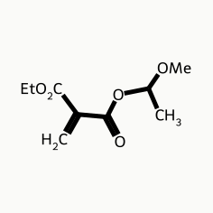 C=C(C(=O)OCC)C(=O)OC(C)OC